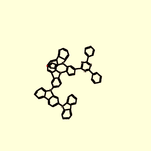 c1ccc(-c2nc(-c3ccccc3)nc(-c3ccc(-n4c5ccccc5c5cc(-n6c7ccccc7c7ccc(-n8c9ccccc9c9ccccc98)cc76)ccc54)c(-n4c5ccccc5c5ccccc54)c3)n2)cc1